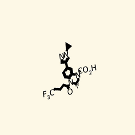 C[C@H]1CN(C(=O)O)c2cc(-c3cnn(C4CC4)c3)ccc2N1C(=O)CCCC(F)(F)F